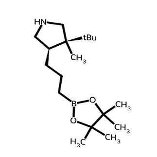 CC1(C)OB(CCC[C@H]2CNC[C@@]2(C)C(C)(C)C)OC1(C)C